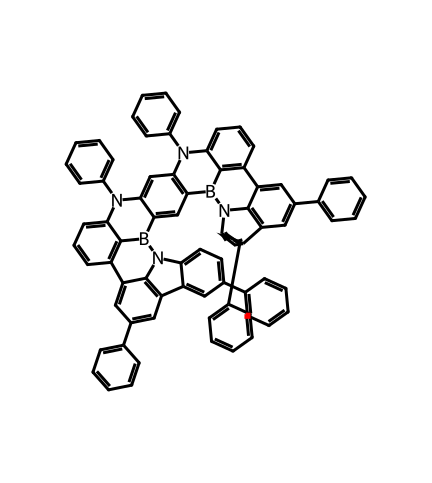 c1ccc(-c2ccc3c(c2)c2cc(-c4ccccc4)cc4c2n3B2c3cc5c(cc3N(c3ccccc3)c3cccc-4c32)N(c2ccccc2)c2cccc3c2B5n2c4ccc(-c5ccccc5)cc4c4cc(-c5ccccc5)cc-3c42)cc1